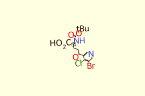 CC(C)(C)OC(=O)N[C@H](CCC(=O)c1cncc(Br)c1Cl)C(=O)O